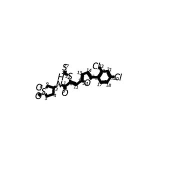 O=C(NC1CCS(=O)(=O)C1)/C(=C/c1ccc(-c2ccc(Cl)cc2Cl)o1)SC=S